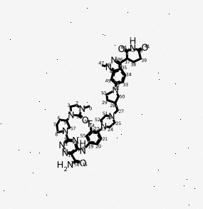 CN1CCN(C2CCCN(c3nnc(C(N)=O)c(Nc4ccc(N5CCN(CC6CCN(c7ccc8c(C9CCC(=O)NC9=O)nn(C)c8c7)C6)CC5)c(F)c4)n3)C2)C1=O